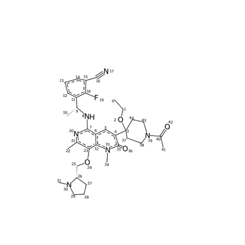 CCOC1(c2cc3c(N[C@H](C)c4cccc(C#N)c4F)nc(C)c(OC[C@@H]4CCCN4C)c3n(C)c2=O)CCN(C(C)=O)CC1